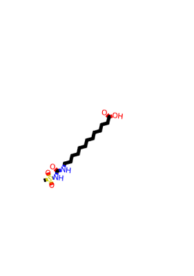 CS(=O)(=O)NC(=O)NCCCCCCCCCCCCC(=O)O